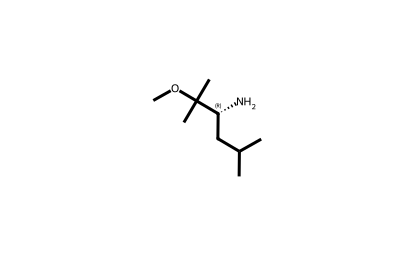 COC(C)(C)[C@H](N)CC(C)C